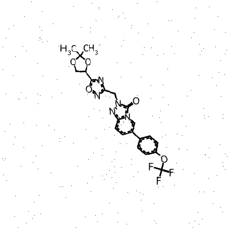 CC1(C)OCC(c2nc(Cn3nc4ccc(-c5ccc(OC(F)(F)F)cc5)cn4c3=O)no2)O1